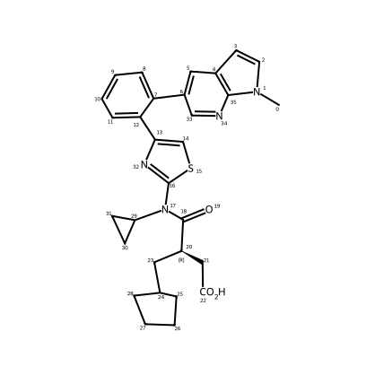 Cn1ccc2cc(-c3ccccc3-c3csc(N(C(=O)[C@@H](CC(=O)O)CC4CCCC4)C4CC4)n3)cnc21